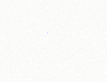 CC(NS(C)(=O)=O)c1cc(=O)c(O)cn1-c1cccc(C2=c3ccccc3=CNC2)c1